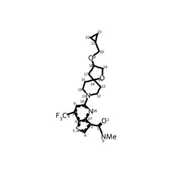 CNC(=O)c1csc2c(C(F)(F)F)cc(N3CCC4(CC3)CC(OCC3CC3)CO4)nc12